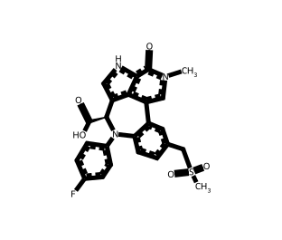 Cn1cc2c3c(c[nH]c3c1=O)[C@H](C(=O)O)N(c1ccc(F)cc1)c1ccc(CS(C)(=O)=O)cc1-2